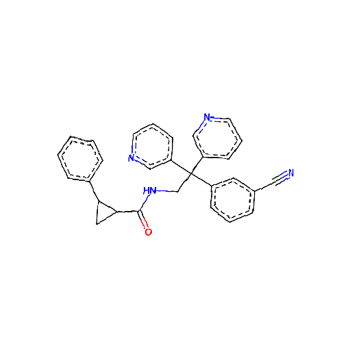 N#Cc1cccc(C(CNC(=O)C2CC2c2ccccc2)(c2cccnc2)c2cccnc2)c1